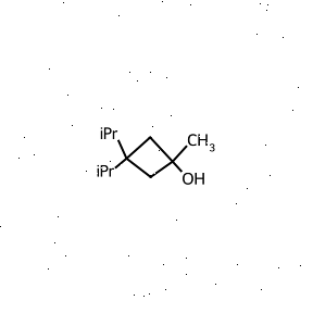 CC(C)C1(C(C)C)CC(C)(O)C1